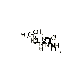 CNc1nc(Nc2cnn(C(C)C)c2)ncc1Cl